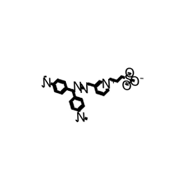 CN(C)c1ccc(C(=NN=Cc2ccc[n+](CCCS(=O)(=O)[O-])c2)c2ccc(N(C)C)cc2)cc1